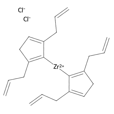 C=CCC1=CCC(CC=C)=[C]1[Zr+2][C]1=C(CC=C)CC=C1CC=C.[Cl-].[Cl-]